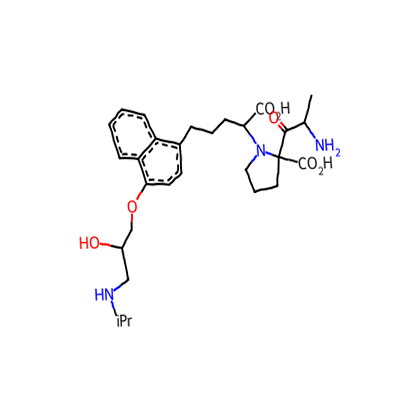 CC(C)NCC(O)COc1ccc(CCCC(C(=O)O)N2CCCC2(C(=O)O)C(=O)C(C)N)c2ccccc12